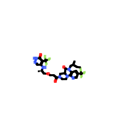 CCC(C)CN1C(=O)C2CN(C(=O)CCOC[C@H](C)Nc3cn[nH]c(=O)c3C(F)(F)F)CCN2c2ncc(C(F)(F)F)cc21